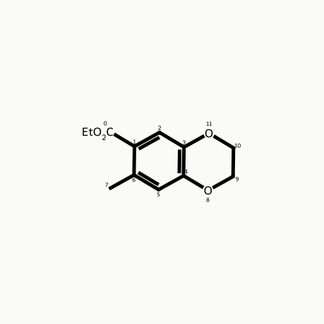 CCOC(=O)c1cc2c(cc1C)OCCO2